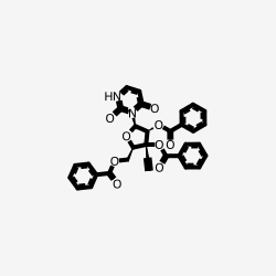 C#C[C@@]1(OC(=O)c2ccccc2)[C@@H](COC(=O)c2ccccc2)O[C@@H](n2c(=O)cc[nH]c2=O)[C@@H]1OC(=O)c1ccccc1